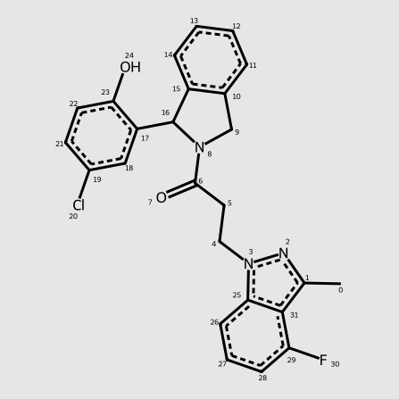 Cc1nn(CCC(=O)N2Cc3ccccc3C2c2cc(Cl)ccc2O)c2cccc(F)c12